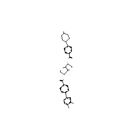 CCCCCCCc1ccc(-c2ccc(C(=O)O[C@@H]3CO[C@@H]4[C@H]3OC[C@@H]4OC(=O)c3ccc(C4CCC(CCCCC)CC4)cc3)cc2)cc1F